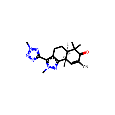 Cn1nnc(-c2c3c(nn2C)[C@@]2(C)C=C(C#N)C(=O)C(C)(C)[C@@H]2CC3)n1